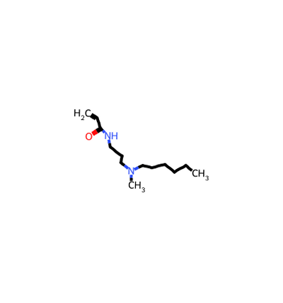 C=CC(=O)NCCCN(C)CCCCCC